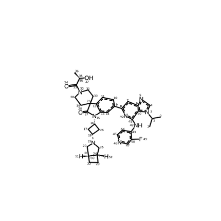 CC(C)n1cnc2cc(-c3ccc4c(c3)N([C@H]3C[C@@H](N5C[C@H]6CC[C@H]6C5)C3)C(=O)C43CCN(C(=O)[C@@H](C)O)CC3)nc(Nc3ccncc3F)c21